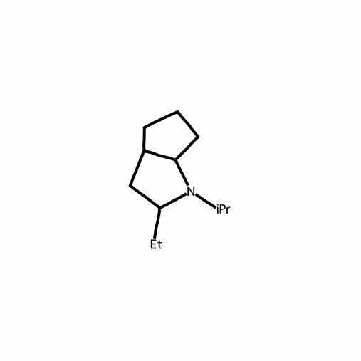 CCC1CC2CCCC2N1C(C)C